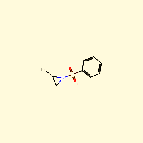 CC[C@@H]1CN1S(=O)(=O)c1ccccc1